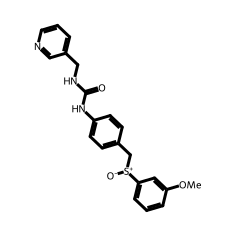 COc1cccc([S+]([O-])Cc2ccc(NC(=O)NCc3cccnc3)cc2)c1